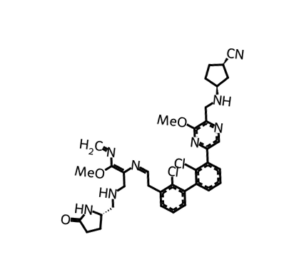 C=N/C(OC)=C(CNC[C@@H]1CCC(=O)N1)\N=C/Cc1cccc(-c2cccc(-c3cnc(CN[C@H]4CC[C@@H](C#N)C4)c(OC)n3)c2Cl)c1Cl